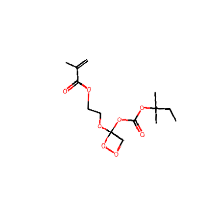 C=C(C)C(=O)OCCOC1(OC(=O)OC(C)(C)CC)COO1